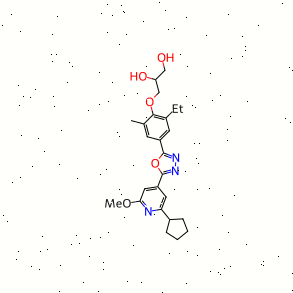 CCc1cc(-c2nnc(-c3cc(OC)nc(C4CCCC4)c3)o2)cc(C)c1OCC(O)CO